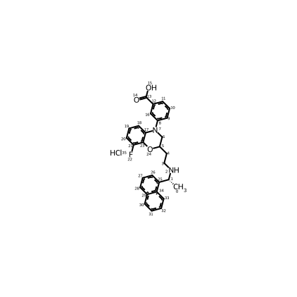 C[C@@H](NCCC1CN(c2cccc(C(=O)O)c2)c2cccc(F)c2O1)c1cccc2ccccc12.Cl